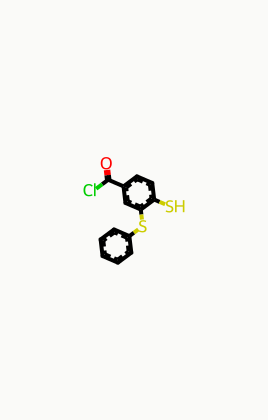 O=C(Cl)c1ccc(S)c(Sc2ccccc2)c1